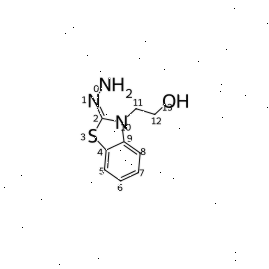 NN=c1sc2ccccc2n1CCO